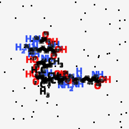 CC[C@H](C)[C@H](N)C(=O)O.CC[C@H](C)[C@H](N)C(=O)O.C[C@@H](O)[C@H](N)C(=O)O.N=C(N)NCCC[C@H](N)C(=O)O.N=C(N)NCCC[C@H](N)C(=O)O.NCC(=O)O